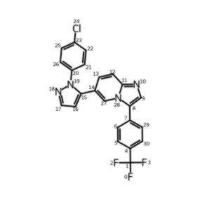 FC(F)(F)c1ccc(-c2cnc3ccc(-c4ccnn4-c4ccc(Cl)cc4)cn23)cc1